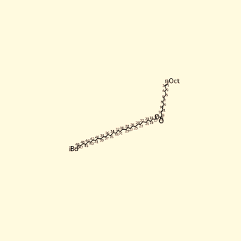 CCCCCCCCC=CCCCCCCCCCCCC(=O)OCCCCCCCCCCCCCCCCCCCCCCCCCCCCCCCCC(C)CC